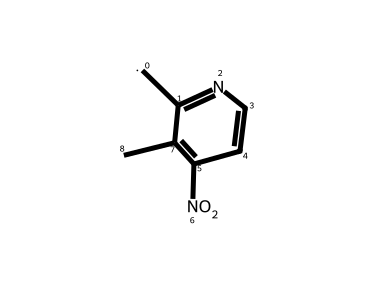 [CH2]c1nccc([N+](=O)[O-])c1C